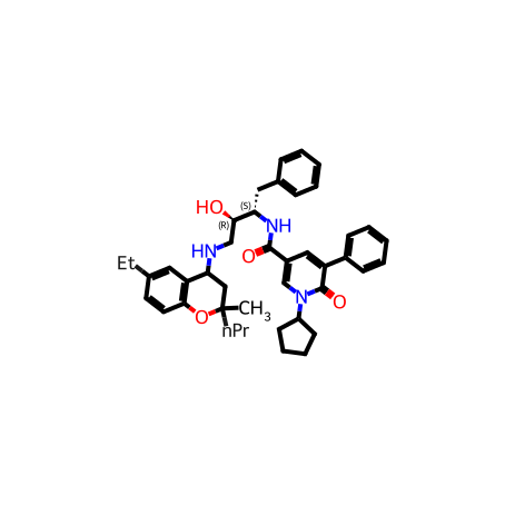 CCCC1(C)CC(NC[C@@H](O)[C@H](Cc2ccccc2)NC(=O)c2cc(-c3ccccc3)c(=O)n(C3CCCC3)c2)c2cc(CC)ccc2O1